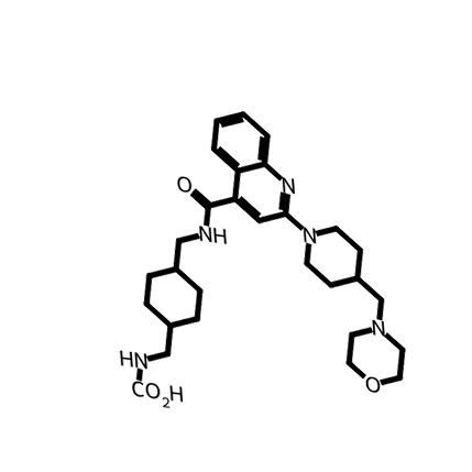 O=C(O)NCC1CCC(CNC(=O)c2cc(N3CCC(CN4CCOCC4)CC3)nc3ccccc23)CC1